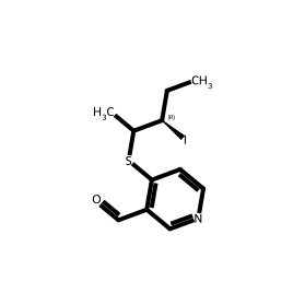 CC[C@@H](I)C(C)Sc1ccncc1C=O